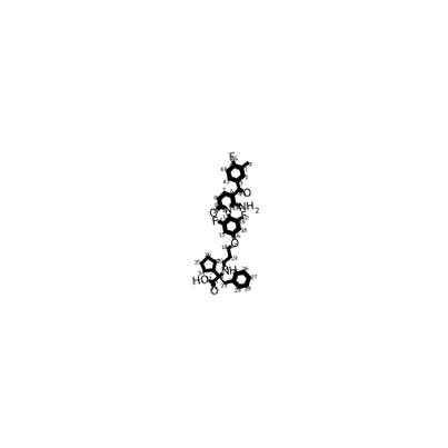 Cc1cc(C(=O)c2ccc(=O)n(-c3c(F)cc(OCCCN[C@](Cc4ccccc4)(C(=O)O)C4CCCC4)cc3F)c2N)ccc1F